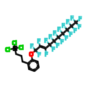 FC(=C(F)C(F)(F)C(F)(F)C(F)(F)C(F)(F)C(F)(F)C(F)(F)C(F)(F)F)C(F)(F)Oc1ccccc1CCC[Si](Cl)(Cl)Cl